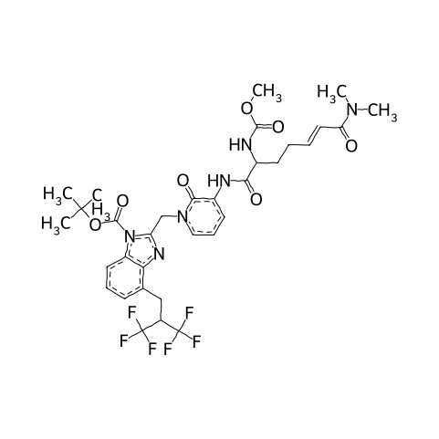 COC(=O)NC(CC/C=C/C(=O)N(C)C)C(=O)Nc1cccn(Cc2nc3c(CC(C(F)(F)F)C(F)(F)F)cccc3n2C(=O)OC(C)(C)C)c1=O